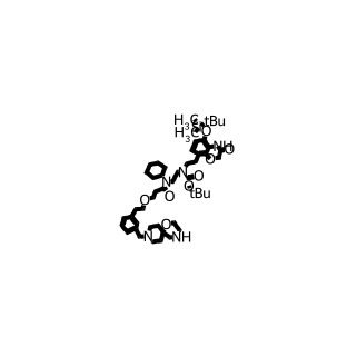 CC(C)(C)OC(=O)N(CCc1ccc(O[Si](C)(C)C(C)(C)C)c2c1OCC(=O)N2)CCN(C(=O)CCOCCc1cccc(CN2CCC3(CC2)CNCCO3)c1)C1CCCCC1